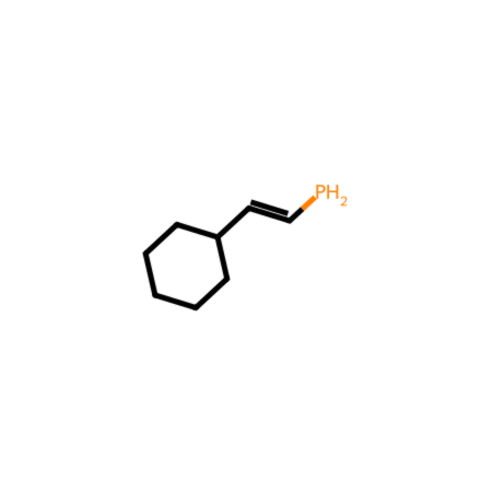 PC=CC1CCCCC1